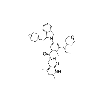 CCN(c1cc(N2Cc3ccccc3C2CN2CCOCC2)cc(C(=O)NCc2c(C)cc(C)[nH]c2=O)c1C)C1CCOCC1